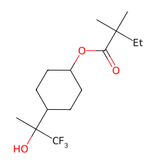 CCC(C)(C)C(=O)OC1CCC(C(C)(O)C(F)(F)F)CC1